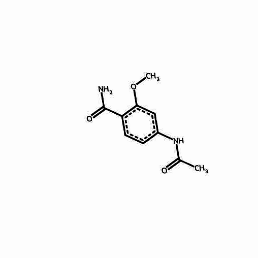 COc1cc(NC(C)=O)ccc1C(N)=O